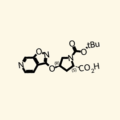 CC(C)(C)OC(=O)N1C[C@H](Oc2noc3cnccc23)C[C@H]1C(=O)O